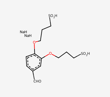 O=Cc1ccc(OCCCS(=O)(=O)O)c(OCCCS(=O)(=O)O)c1.[NaH].[NaH]